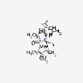 C=N/C(NC1(C)CC1)=C(\C)C(C(=O)n1nc(C)c(C)c1C)=C(C)C